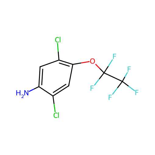 Nc1cc(Cl)c(OC(F)(F)C(F)(F)F)cc1Cl